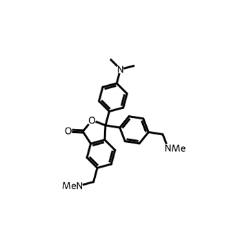 CNCc1ccc(C2(c3ccc(N(C)C)cc3)OC(=O)c3cc(CNC)ccc32)cc1